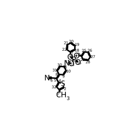 Cc1csc(C(C#N)=C2C=CC(=NOP(=O)(Oc3ccccc3)Oc3ccccc3)C=C2)c1